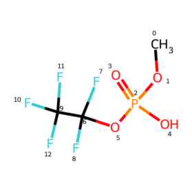 COP(=O)(O)OC(F)(F)C(F)(F)F